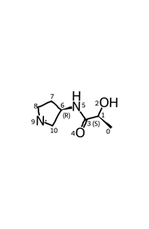 C[C@H](O)C(=O)N[C@@H]1CC[N]C1